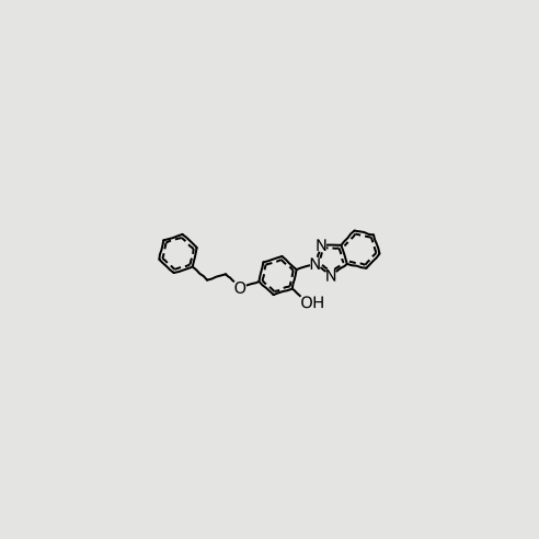 Oc1cc(OCCc2ccccc2)ccc1-n1nc2ccccc2n1